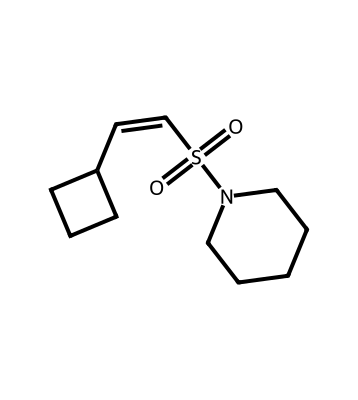 O=S(=O)(/C=C\C1CCC1)N1CCCCC1